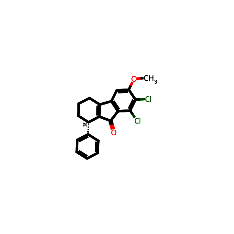 COc1cc2c(c(Cl)c1Cl)C(=O)C1=C2CCC[C@H]1c1ccccc1